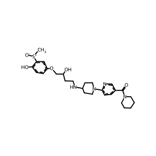 C[S+]([O-])c1cc(OCC(O)CCNC2CCN(c3ccc(C(=O)N4CCCCC4)cn3)CC2)ccc1O